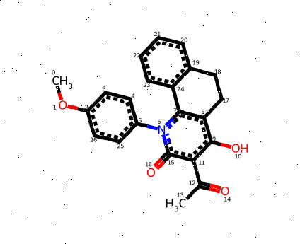 COc1ccc(-n2c3c(c(O)c(C(C)=O)c2=O)CCc2ccccc2-3)cc1